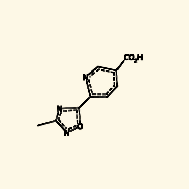 Cc1noc(-c2ccc(C(=O)O)cn2)n1